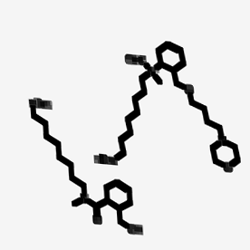 CCCCCCCCCCCCCCCCCCN(C)C(=O)C1CC=CCC1CO.CCCCCCCCCCCCCCCCCC[N+](C)(C=O)C1CC=CCC1COCCCCN1CCOCC1